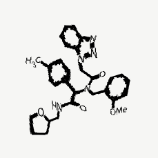 COc1ccccc1CN(C(=O)Cn1nnc2ccccc21)C(C(=O)NCC1CCCO1)c1ccc(C)cc1